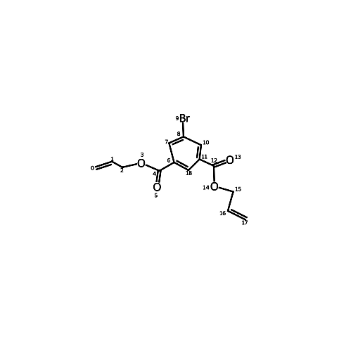 C=CCOC(=O)c1cc(Br)cc(C(=O)OCC=C)c1